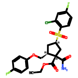 N#CCOC(=O)[C@]1(C(N)=O)C[C@@H](S(=O)(=O)c2ccc(F)cc2Cl)C[C@H]1COc1ccc(F)cc1